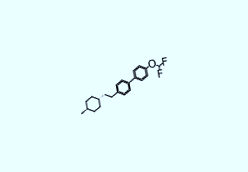 C[C@H]1CC[C@H](CCc2ccc(-c3ccc(OC(F)F)cc3)cc2)CC1